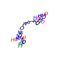 CC(C)(O)c1nc2nc([C@H]3CC[C@H](CN4CC5(CC(CCNc6cccc7c6C(=O)N(C6CCC(=O)NC6=O)C7=O)C5)C4)CC3)sc2cc1NC(=O)c1cccc(C(F)(F)F)n1